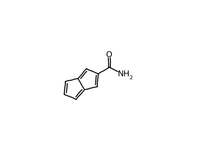 NC(=O)C1=CC2=CC=CC2=C1